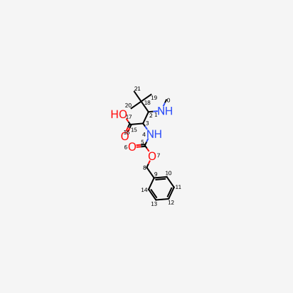 CNC(C(NC(=O)OCc1ccccc1)C(=O)O)C(C)(C)C